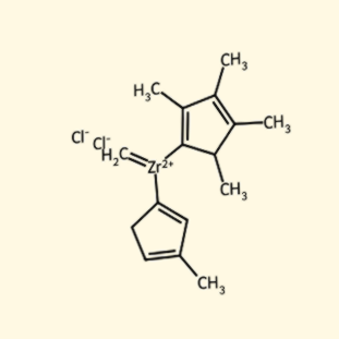 [CH2]=[Zr+2]([C]1=CC(C)=CC1)[C]1=C(C)C(C)=C(C)C1C.[Cl-].[Cl-]